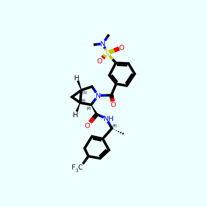 C[C@@H](NC(=O)[C@H]1[C@@H]2C[C@@H]2CN1C(=O)c1cccc(S(=O)(=O)N(C)C)c1)C1=CCC(C(F)(F)F)C=C1